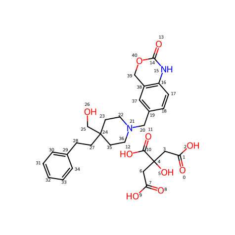 O=C(O)CC(O)(CC(=O)O)C(=O)O.O=C1Nc2ccc(CN3CCC(CO)(CCc4ccccc4)CC3)cc2CO1